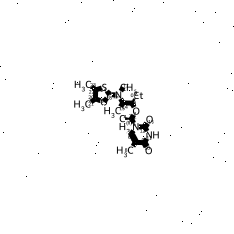 CC[C@@H](O[C@H](C)n1cc(C)c(=O)[nH]c1=O)C(C)N(C)P1OC(C)C(C)S1